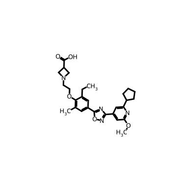 CCc1cc(-c2nc(-c3cc(OC)nc(C4CCCC4)c3)no2)cc(C)c1OCCN1CC(C(=O)O)C1